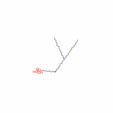 CCCCCCCCCCCCCCN(CCCCCCCC/C=C\CCCCCCCCOP(=O)(O)O)CCCCCCCCCCCCCC